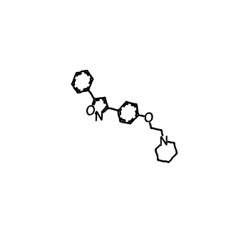 c1ccc(-c2cc(-c3ccc(OCCN4CCCCC4)cc3)no2)cc1